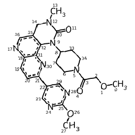 COCC(=O)N1CCC(N2C(=O)N(C)Cc3cnc4ccc(-c5cnc(OC)nc5)nc4c32)CC1